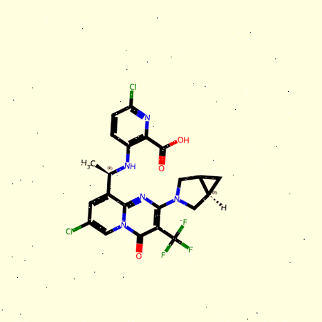 C[C@@H](Nc1ccc(Cl)nc1C(=O)O)c1cc(Cl)cn2c(=O)c(C(F)(F)F)c(N3CC4C[C@H]4C3)nc12